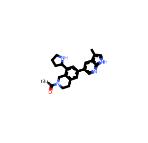 Cc1c[nH]c2ncc(-c3cc4c(c(C5CCCN5)c3)CN(C(=O)C(C)(C)C)CC4)cc12